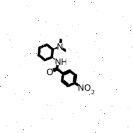 CN(C)[C@@H]1CCCC[C@H]1NC(=O)c1ccc([N+](=O)[O-])cc1